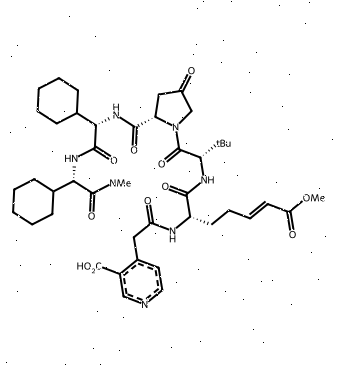 CNC(=O)[C@@H](NC(=O)[C@@H](NC(=O)[C@@H]1CC(=O)CN1C(=O)[C@@H](NC(=O)[C@H](CC/C=C/C(=O)OC)NC(=O)Cc1ccncc1C(=O)O)C(C)(C)C)C1CCCCC1)C1CCCCC1